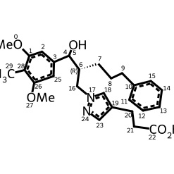 COc1cc(C(O)[C@H](CCCc2ccccc2)Cn2cc(CCC(=O)O)cn2)cc(OC)c1C